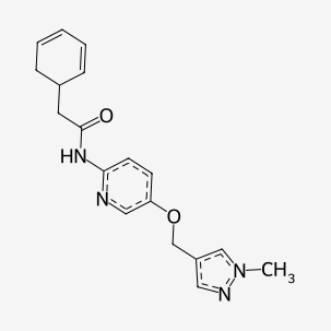 Cn1cc(COc2ccc(NC(=O)CC3C=CC=CC3)nc2)cn1